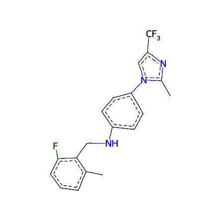 Cc1cccc(F)c1CNc1ccc(-n2cc(C(F)(F)F)nc2C)cc1